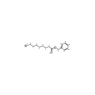 O=C(CCCCCCCBr)OCc1ccccc1